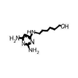 Nc1cc(NCCCCCCO)nc(N)n1